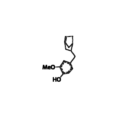 COc1cc(CC2CC3=CCC2C3)ccc1O